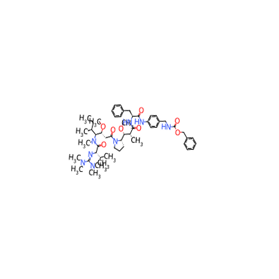 CC[C@H](C)[C@@H]([C@@H](CC(=O)N1CCC[C@H]1[C@H](OC)[C@@H](C)C(=O)N[C@@H](Cc1ccccc1)C(=O)Nc1ccc(CNC(=O)OCc2ccccc2)cc1)OC)N(C)C(=O)[C@@H](N=C(N(C)C)N(C)C)C(C)C